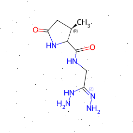 C[C@@H]1CC(=O)NC1C(=O)NC/C(=N/N)NN